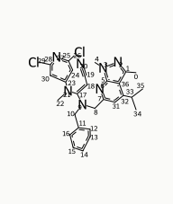 Cc1nn(C)c2nc(CN(Cc3ccccc3)/C(=C/C#N)N(C)c3cc(Cl)nc(Cl)c3)cc(C(C)C)c12